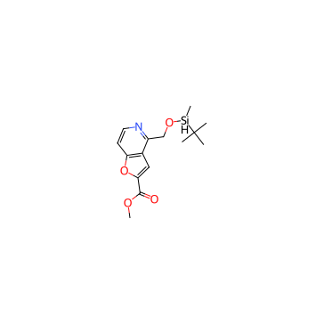 COC(=O)c1cc2c(CO[SiH](C)C(C)(C)C)nccc2o1